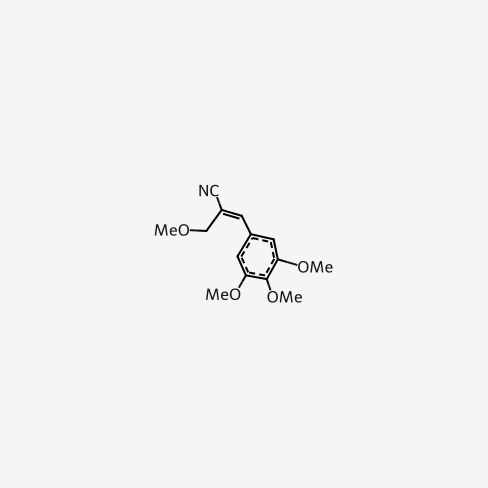 COC/C(C#N)=C\c1cc(OC)c(OC)c(OC)c1